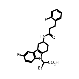 CCC(C(=O)O)n1c2c(c3cc(F)ccc31)CC(NC(=O)CCc1ccccc1F)CC2